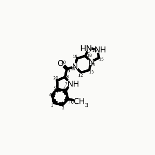 Cc1cccc2c1NC(C(=O)N1CCN3CNNC3C1)C2